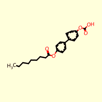 CCCCCCCCC(=O)Oc1ccc(-c2ccc(OC(=O)O)cc2)cc1